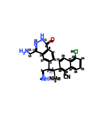 CN/C(=C(\C=N)c1ccc2c(=O)[nH]nc(CN)c2c1)c1ccc2c(Cl)cccc2c1C#N